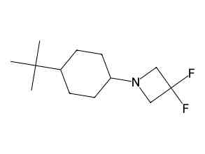 CC(C)(C)C1CCC(N2CC(F)(F)C2)CC1